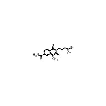 CCN(CC)CCCn1c(=O)c2ccc(C(N)=O)cc2n(C)c1=S